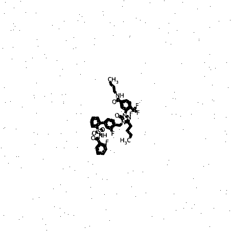 CCCCNC(=O)c1ccc(C(F)(F)F)c(-n2nc(CCCC)n(Cc3ccc(-c4ccccc4S(=O)(=O)NC(=O)c4ccccc4F)cc3F)c2=O)c1